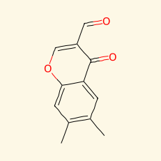 Cc1cc2occ(C=O)c(=O)c2cc1C